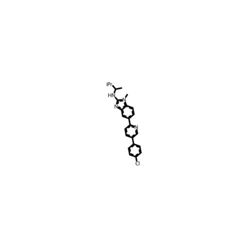 CC(C)C(C)Nc1nc2cc(-c3ccc(-c4ccc(Cl)cc4)cn3)ccc2n1C